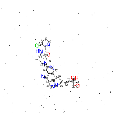 CC1(NC(=O)c2ncccc2Cl)CCN(c2ccc(-c3cc(C#CC4(O)COC4)cn4ncc(C#N)c34)cn2)CC1